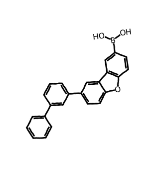 OB(O)c1ccc2oc3ccc(-c4cccc(-c5ccccc5)c4)cc3c2c1